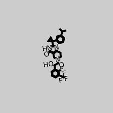 CC(C)c1cccc(C2(c3nc4c(c(=O)[nH]3)CN(C(=O)C(O)c3cccc(C(F)(F)F)c3F)CC4)CC2)c1